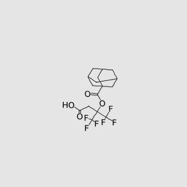 O=C(O)CC(OC(=O)C12CC3CC(CC(C3)C1)C2)(C(F)(F)F)C(F)(F)F